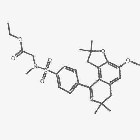 CCOC(=O)CN(C)S(=O)(=O)c1ccc(C2=NC(C)(C)Cc3cc(OC)c4c(c32)CC(C)(C)O4)cc1